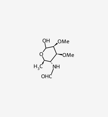 CO[C@H]1[C@H](NC=O)[C@@H](C)OC(O)[C@H]1OC